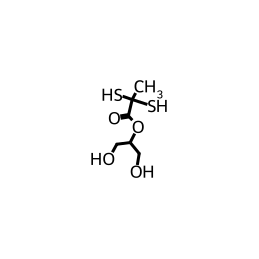 CC(S)(S)C(=O)OC(CO)CO